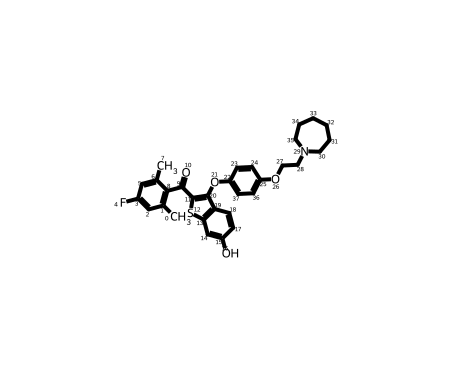 Cc1cc(F)cc(C)c1C(=O)c1sc2cc(O)ccc2c1Oc1ccc(OCCN2CCCCCC2)cc1